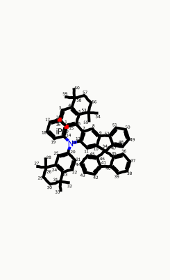 CC(C)c1ccc2c(c1-c1cc3c(cc1N(c1ccccc1)c1ccc4c(c1)C(C)(C)CCC4(C)C)C1(c4ccccc4-c4ccccc41)c1ccccc1-3)C(C)(C)CCC2(C)C